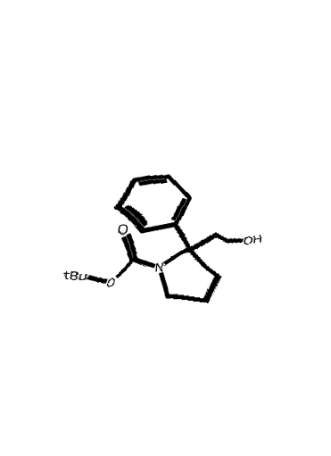 CC(C)(C)OC(=O)N1CCCC1(CO)c1ccccc1